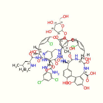 CN[C@@H](CC(C)C)C(=O)N[C@H]1C(=O)N[C@@H](CC(N)=O)C(=O)NC2C(=O)N[C@@H]3C(=O)N[C@@H](C(=O)N[C@@H](C(=O)O)c4cc(O)cc(O)c4-c4cc3ccc4O)[C@H](O)c3ccc(c(Cl)c3)Oc3cc2cc(c3OC2O[C@@H](CO)[C@@H](O)[C@@H](O)[C@H]2O[C@H]2CC(C)(NCc3cncc(C(=O)Nc4cc(Cl)cc(Cl)c4)c3)[C@@H](O)C(C)O2)Oc2ccc(cc2Cl)[C@H]1O